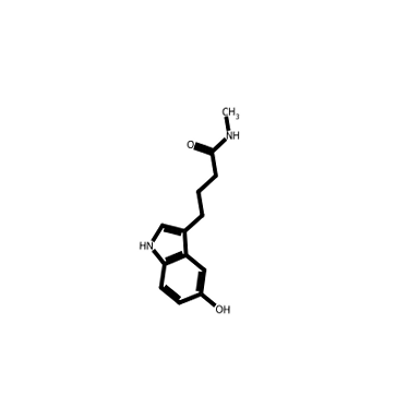 CNC(=O)CCCc1c[nH]c2ccc(O)cc12